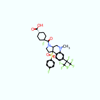 CN1CC2N(C(=O)[C@]3(F)CC[C@@H](C(=O)O)CC3)CCC2(S(=O)(=O)c2ccc(F)cc2)c2ccc(C(F)(C(F)(F)F)C(F)(F)F)cc21